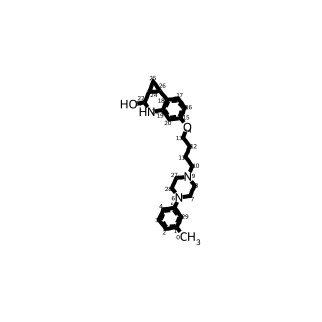 Cc1cccc(N2CCN(CCCCOc3ccc4c(c3)NC(O)C3CC43)CC2)c1